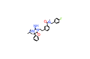 CC(C)C[C@]1(c2ccccc2)NC(=N)N(CCc2cccc(C(=O)N(C)Cc3ccc(F)cc3)c2)C1=O